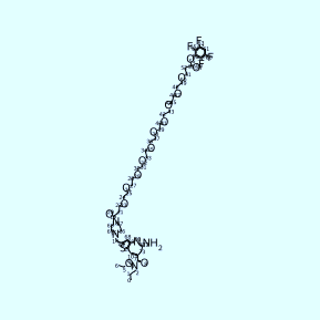 CCCN(OCC)C(=O)C1=Cc2sc(CN3CCN(C(=O)CCOCCOCCOCCOCCOCCOCCOCCOCCOCCOCCC(=O)Oc4c(F)c(F)cc(F)c4F)CC3)cc2N=C(N)C1